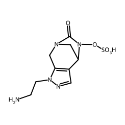 NCCn1ncc2c1CN1CC2N(OS(=O)(=O)O)C1=O